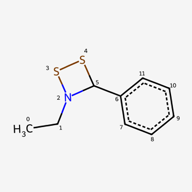 CCN1SSC1c1ccccc1